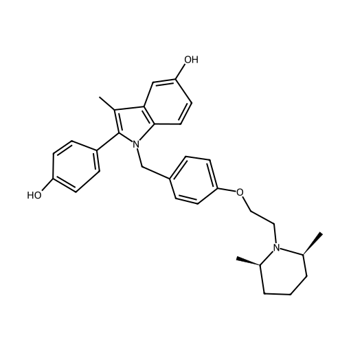 Cc1c(-c2ccc(O)cc2)n(Cc2ccc(OCCN3[C@H](C)CCC[C@@H]3C)cc2)c2ccc(O)cc12